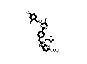 O=C(O)c1ccc2nc(CC3CC=C(c4ncc(F)c(OCc5ccc(Cl)cc5F)n4)CC3)n(C[C@@H]3CCO3)c2n1